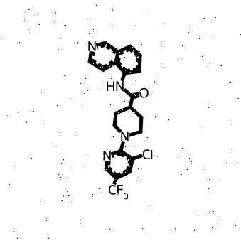 O=C(Nc1cccc2cnccc12)C1CCN(c2ncc(C(F)(F)F)cc2Cl)CC1